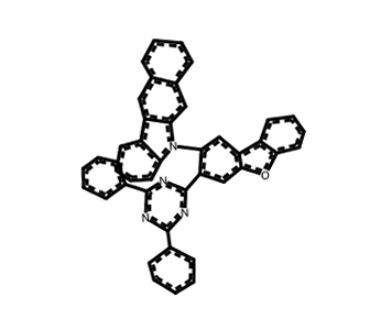 c1ccc(-c2nc(-c3ccccc3)nc(-c3cc4oc5ccccc5c4cc3-n3c4ccccc4c4cc5ccccc5cc43)n2)cc1